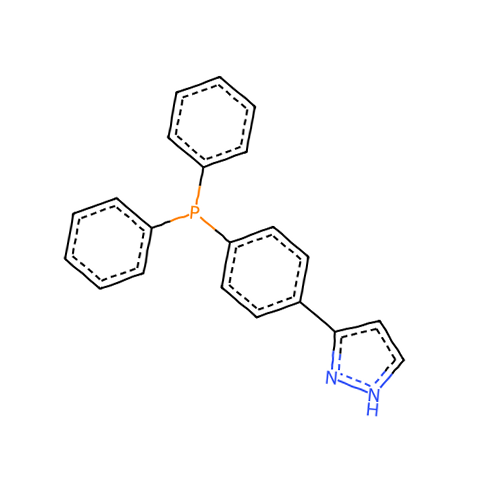 c1ccc(P(c2ccccc2)c2ccc(-c3cc[nH]n3)cc2)cc1